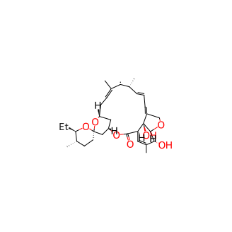 CC[C@H]1O[C@]2(CC[C@@H]1C)C[C@@H]1C[C@@H](C/C=C(\C)[CH][C@H](C)/C=C/C=C3\CO[C@@H]4[C@H](O)C(C)=C[C@@H](C(=O)O1)[C@]34O)O2